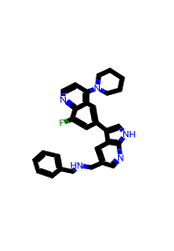 Fc1cc(-c2c[nH]c3ncc(CNCc4ccccc4)cc23)cc2c(N3CCCCC3)ccnc12